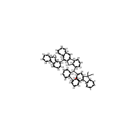 CC1(C)c2ccccc2-c2ccc(C(c3ccccc3-c3ccccc3)c3cccc4c3Cc3c-4cc4ccccc4c3-c3cccc4c3oc3ccccc34)cc21